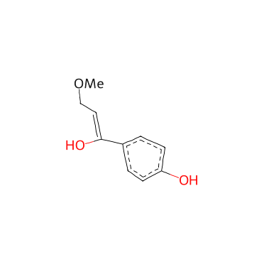 COCC=C(O)c1ccc(O)cc1